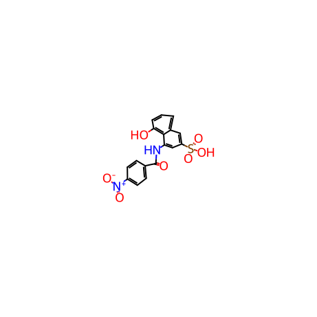 O=C(Nc1cc(S(=O)(=O)O)cc2cccc(O)c12)c1ccc([N+](=O)[O-])cc1